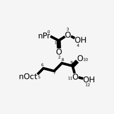 CCCC(=O)OO.CCCCCCCCCCCC(=O)OO